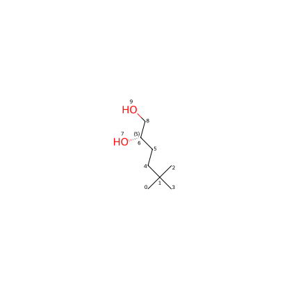 CC(C)(C)CC[C@H](O)CO